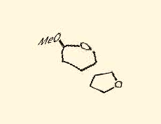 C1CCOC1.COC1CCCO1